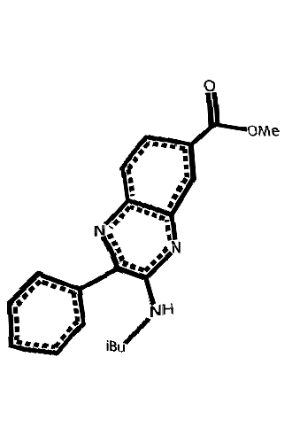 CCC(C)Nc1nc2cc(C(=O)OC)ccc2nc1-c1ccccc1